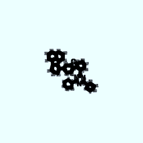 C1=CCC(c2nc(-c3ccccc3)nc(-c3cccc4oc5cc(-c6cccc7c6-c6cccc8cccc-7c68)ccc5c34)n2)C=C1